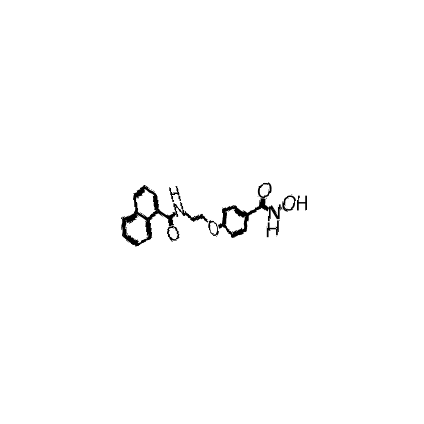 O=C(NO)c1ccc(OCCNC(=O)c2cccc3ccccc23)cc1